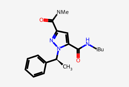 CCC(C)NC(=O)c1cc(C(=O)NC)nn1[C@@H](C)c1ccccc1